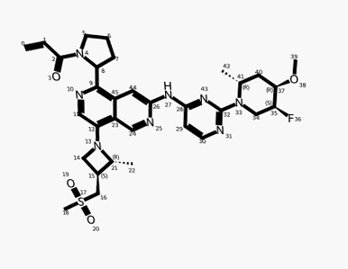 C=CC(=O)N1CCCC1c1ncc(N2C[C@H](CS(C)(=O)=O)[C@H]2C)c2cnc(Nc3ccnc(N4C[C@H](F)[C@H](OC)C[C@H]4C)n3)cc12